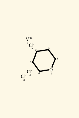 C1CCOCC1.[Cl-].[Cl-].[Cl-].[V+3]